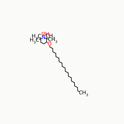 CCCCCCCCCCCCCCCCCCCCOC1CCC(C)(C)N(O)C1(C)C